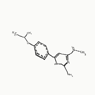 CNC1=NC(N)NC(c2ccc(OC(C)C)cc2)=C1